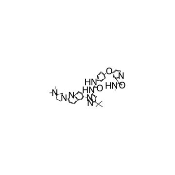 CNC(=O)c1cc(Oc2ccc(NC(=O)Nc3cc(C(C)(C)C)nn3-c3ccc4nc(N5CCC(N(C)C)C5)ccc4c3)cc2)ccn1